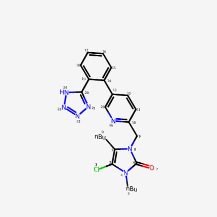 CCCCc1c(Cl)n(CCCC)c(=O)n1Cc1ccc(-c2ccccc2-c2nnn[nH]2)cn1